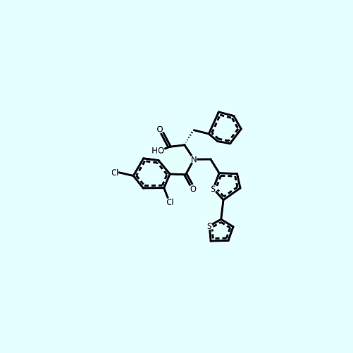 O=C(O)[C@H](Cc1ccccc1)N(Cc1ccc(-c2cccs2)s1)C(=O)c1ccc(Cl)cc1Cl